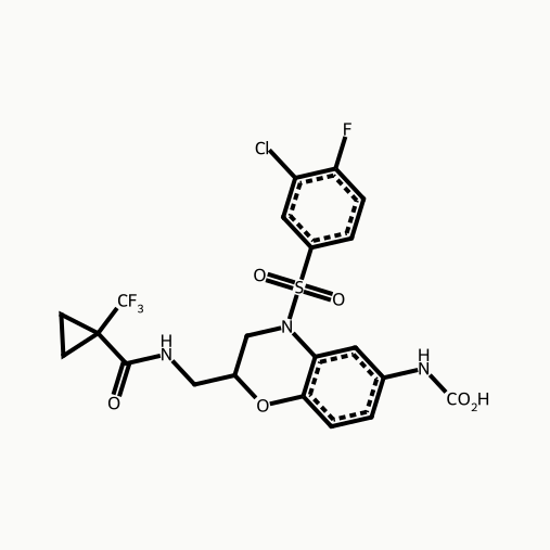 O=C(O)Nc1ccc2c(c1)N(S(=O)(=O)c1ccc(F)c(Cl)c1)CC(CNC(=O)C1(C(F)(F)F)CC1)O2